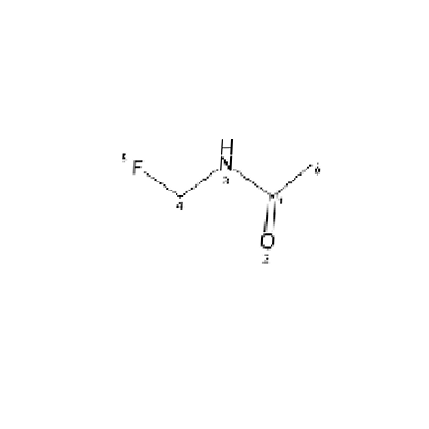 [CH2]C(=O)NCF